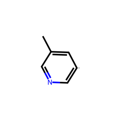 Cc1c[c]cnc1